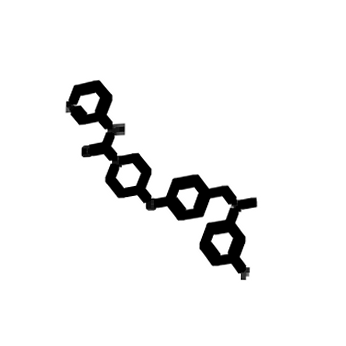 CN(Cc1ccc(OC2CCN(C(=O)Nc3cccnc3)CC2)cc1)c1cccc(F)c1